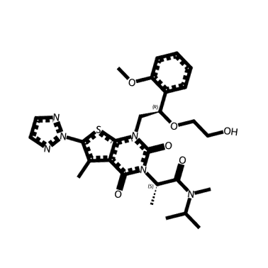 COc1ccccc1[C@H](Cn1c(=O)n([C@@H](C)C(=O)N(C)C(C)C)c(=O)c2c(C)c(-n3nccn3)sc21)OCCO